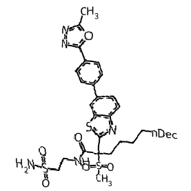 CCCCCCCCCCCCCCC(C(=O)NCCS(N)(=O)=O)(c1nc2ccc(-c3ccc(-c4nnc(C)o4)cc3)cc2s1)S(C)(=O)=O